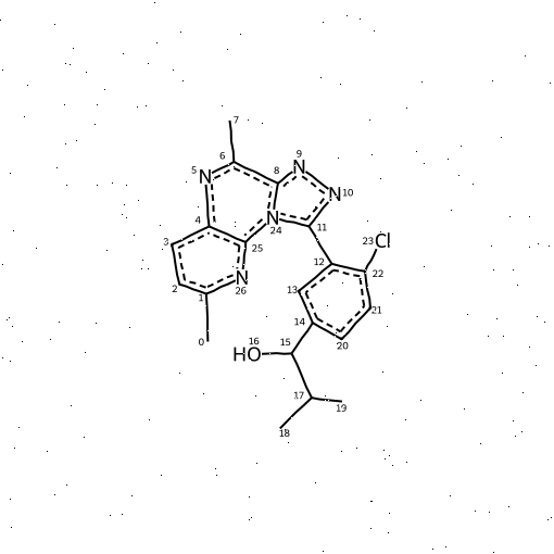 Cc1ccc2nc(C)c3nnc(-c4cc(C(O)C(C)C)ccc4Cl)n3c2n1